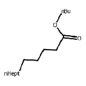 CCCCCCCCCCCC(=O)OCCCC